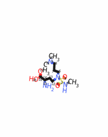 CNS(=O)(=O)N(CCCN(C)C)CCC(N)C(=O)O